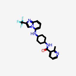 Cc1ncccc1C(=O)NC1CCC(Nc2cccc3nc(C(F)(F)F)cn23)CC1